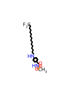 CS(=O)(=O)NC(=O)c1ccc(NCCCCCCCCCCCCCCCC(F)(F)F)cc1